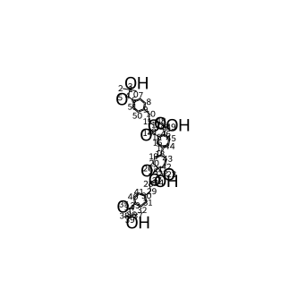 CC(C)(O)C(=O)c1ccc(CCOC(=O)c2cc(C3=CCC(C(=O)O)(C(=O)OCCc4ccc(C(=O)C(C)(C)O)cc4)C=C3)ccc2C(=O)O)cc1